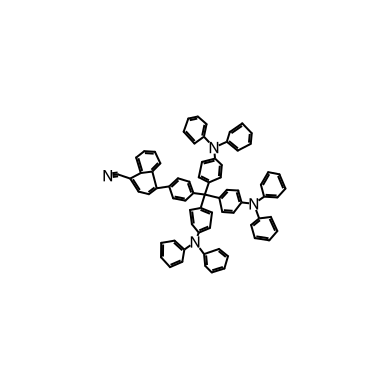 N#Cc1ccc(-c2ccc(C(c3ccc(N(c4ccccc4)c4ccccc4)cc3)(c3ccc(N(c4ccccc4)c4ccccc4)cc3)c3ccc(N(c4ccccc4)c4ccccc4)cc3)cc2)c2ccccc12